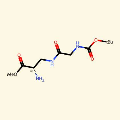 COC(=O)[C@@H](N)CNC(=O)CNC(=O)OC(C)(C)C